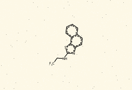 FC(F)(F)CNc1nc2ccc3ccccc3c2s1